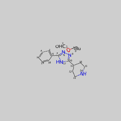 CC(C)(C)OC=O.c1ccc(-c2nnc(C3CCNCC3)[nH]2)cc1